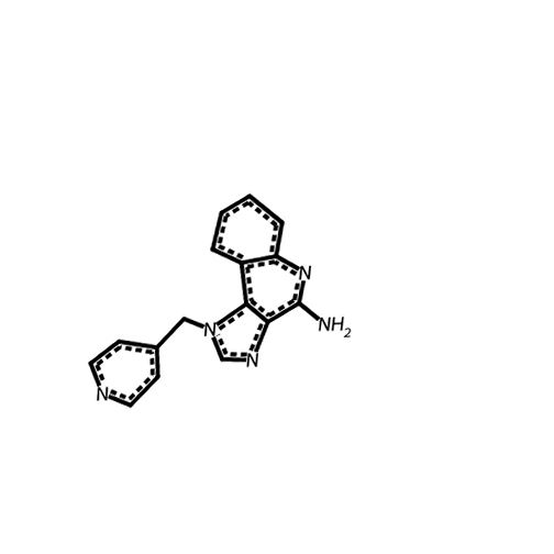 Nc1nc2ccccc2c2c1ncn2Cc1ccncc1